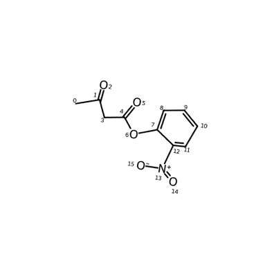 CC(=O)CC(=O)Oc1ccccc1[N+](=O)[O-]